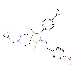 COc1ccc(CCN2C(=O)C3(CCN(CC4CC4)CC3)N(C)C2c2ccc(C3CC3)cc2)cc1